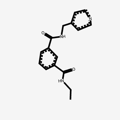 CCNC(=O)c1cccc(C(=O)NCc2ccncc2)c1